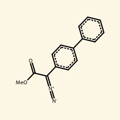 COC(=O)C(=[N+]=[N-])c1ccc(-c2ccccc2)cc1